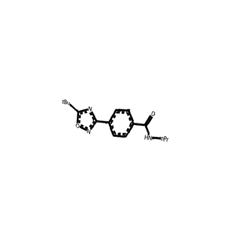 CCCNC(=O)c1ccc(-c2noc(C(C)(C)C)n2)cc1